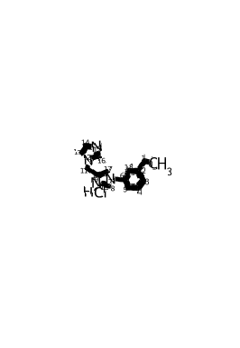 CCc1cccc(-n2cnc(Cn3ccnc3)c2)c1.Cl